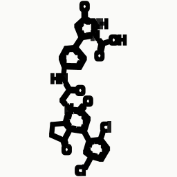 O=C(Cn1c2c(c(-c3cc(Cl)ccc3Cl)cc1=O)C(=O)CC2)Nc1ccc(-c2cc(=O)[nH]n2C(=O)O)cc1